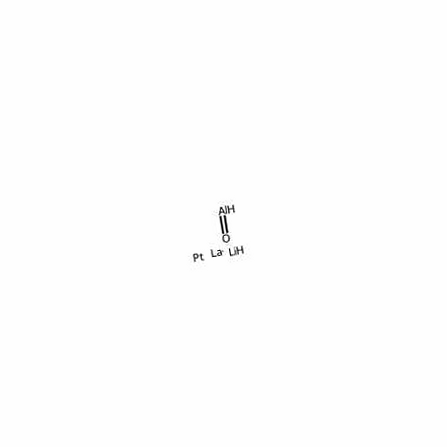 [La].[LiH].[O]=[AlH].[Pt]